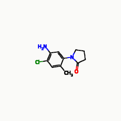 Cc1cc(Cl)c(N)cc1N1CCCC1=O